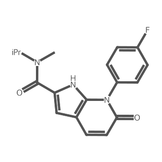 CC(C)N(C)C(=O)c1cc2ccc(=O)n(-c3ccc(F)cc3)c2[nH]1